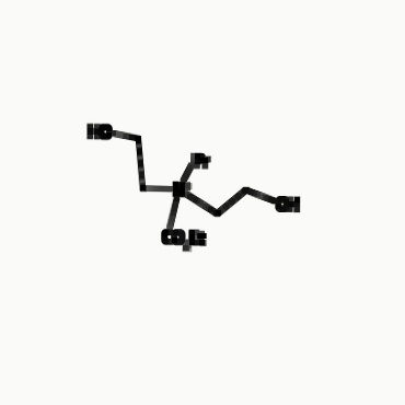 CCOC(=O)[N+](CCO)(CCO)C(C)C